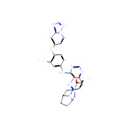 C=CC(=O)N1CC2CCC(C1)N2c1ccc2ncnc(Nc3ccc(Oc4ccn5ncnc5c4)c(C)c3)c2n1